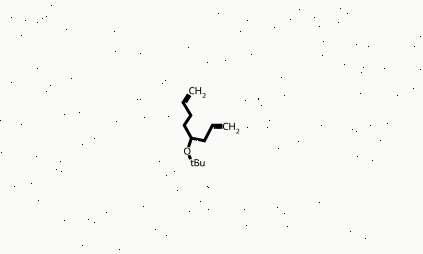 C=CCCC(CC=C)OC(C)(C)C